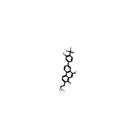 CCCc1ccc2c(cc(F)c3cc(-c4ccc(C(F)(F)F)c(F)c4)ccc32)c1F